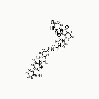 CN(CCc1ccc(CNCCN2CCN(c3cccc4c3C(=O)N(C3CCC(=O)NC3=O)C4=O)CC2)cc1)c1cc(-c2ccccc2O)nnc1N